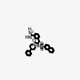 N=C(N)c1cccc(CC(NS(=O)(=O)c2ccc3ccccc3c2)C(=O)N2CCC(c3ccccc3)CC2)c1